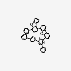 c1ccc(-c2ccc(-c3nc(-c4ccccc4)nc(-c4cccc5c4oc4c(-c6ccc(-c7ccccc7)c7oc8ccccc8c67)cccc45)n3)cc2)cc1